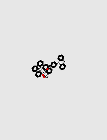 c1ccc([Si]2(c3ccccc3)c3ccccc3[Si]3(c4ccccc4Sc4ccccc43)c3cc(-c4ccc(N5c6ccccc6Sc6ccccc65)cc4)ccc32)cc1